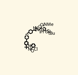 CNC(=O)[C@@H]1C[C@@H](O[Si](C)(C)C(C)(C)C)CN1C(=O)[C@H](C(C)C)n1cc(C2CCC(CN3CCC(c4ccc5c(c4)-n4c(nc(=O)c6c(Cl)cccc64)C5(C)C)CC3)CC2)nn1